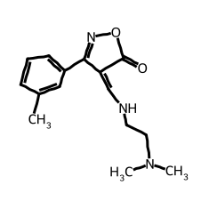 Cc1cccc(C2=NOC(=O)/C2=C\NCCN(C)C)c1